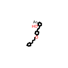 CC(=O)c1cccc(C=Cc2ccc(OCCCCc3ccccc3)cc2)c1O